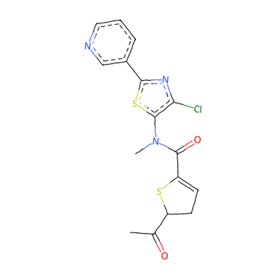 CC(=O)C1CC=C(C(=O)N(C)c2sc(-c3cccnc3)nc2Cl)S1